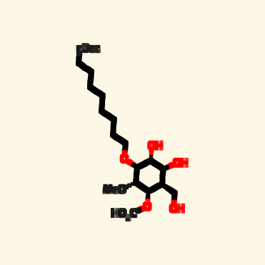 CCCCCCCCCCCCCCCCCCO[C@H]1[C@H](O)[C@@H](O)[C@@H](CO)[C@H](OC(=O)O)[C@@H]1OC